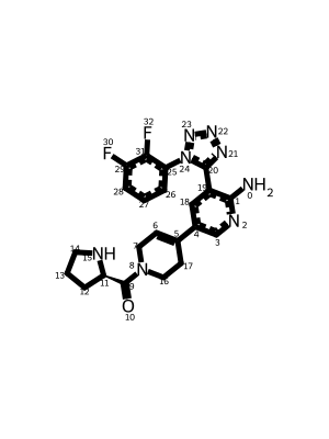 Nc1ncc(C2=CCN(C(=O)[C@H]3CCCN3)CC2)cc1-c1nnnn1-c1cccc(F)c1F